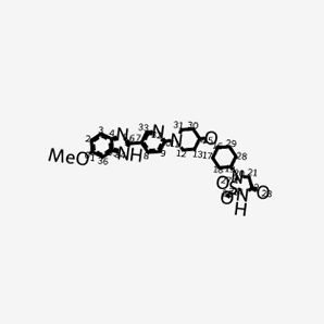 COc1ccc2nc(-c3ccc(N4CCC(OC5CCC(N6CC(=O)NS6(=O)=O)CC5)CC4)nc3)[nH]c2c1